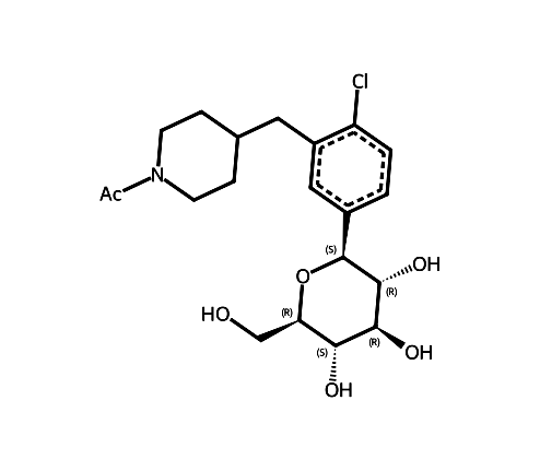 CC(=O)N1CCC(Cc2cc([C@@H]3O[C@H](CO)[C@@H](O)[C@H](O)[C@H]3O)ccc2Cl)CC1